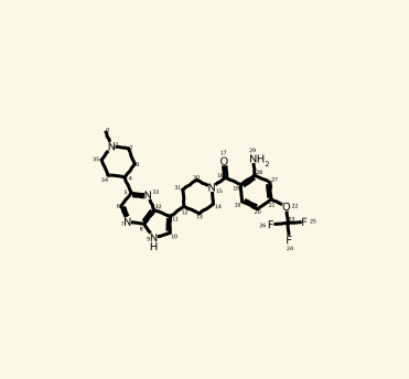 CN1CCC(c2cnc3[nH]cc(C4CCN(C(=O)c5ccc(OC(F)(F)F)cc5N)CC4)c3n2)CC1